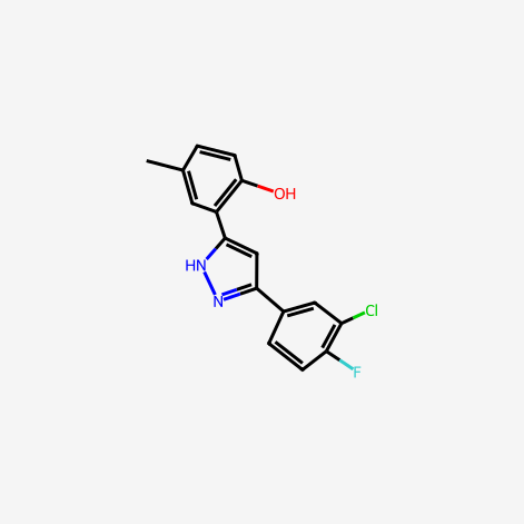 Cc1ccc(O)c(-c2cc(-c3ccc(F)c(Cl)c3)n[nH]2)c1